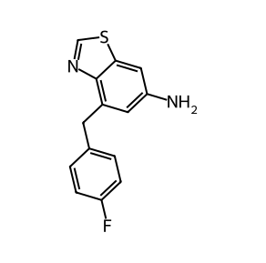 Nc1cc(Cc2ccc(F)cc2)c2ncsc2c1